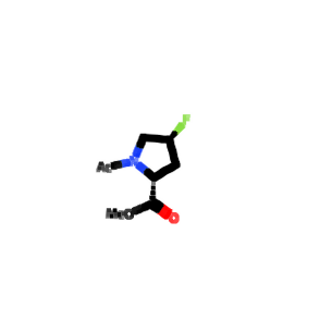 COC(=O)[C@H]1C[C@H](F)CN1C(C)=O